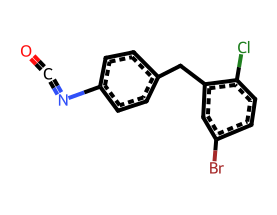 O=C=Nc1ccc(Cc2cc(Br)ccc2Cl)cc1